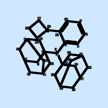 c1ccc(P(C23CC4CC(CC(C4)C2)C3)C23CC4CC(CC(C4)C2)C3)c(N2CCC2)c1